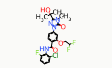 Cn1c(C(C)(C)O)nn(-c2ccc(C(=O)Nc3c(F)cccc3Cl)c(OCC(F)F)c2)c1=O